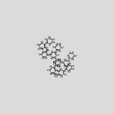 c1ccc(-c2cccc(-c3nc(-c4cc(-c5ccccc5)cc(-c5cccc6c5sc5c(-c7ccccc7)cccc56)c4)nc(-c4cccc5oc6ccc(-c7ccccc7)cc6c45)n3)c2)cc1